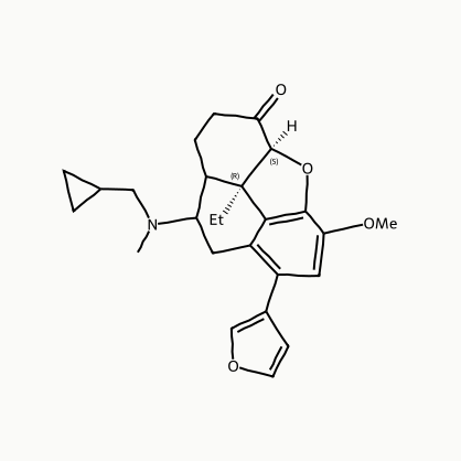 CC[C@@]12c3c4c(-c5ccoc5)cc(OC)c3O[C@@H]1C(=O)CCC2C(N(C)CC1CC1)C4